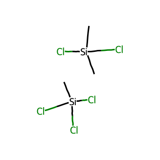 C[Si](C)(Cl)Cl.C[Si](Cl)(Cl)Cl